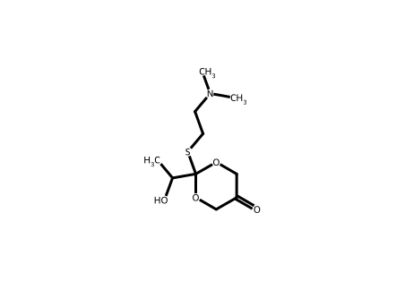 CC(O)C1(SCCN(C)C)OCC(=O)CO1